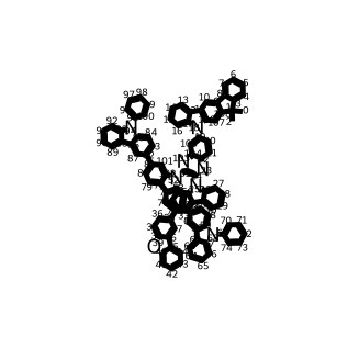 CC1(C)c2ccccc2-c2cc3c4ccccc4n(-c4ccc5nc(-n6c7ccccc7c7cc(-c8ccc9oc%10ccccc%10c9c8)ccc76)c(-n6c7cc(-c8ccc9c(c8)c8ccccc8n9-c8ccccc8)ccc7c7ccc(-c8ccc9c(c8)c8ccccc8n9-c8ccccc8)cc76)nc5c4)c3cc21